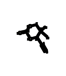 C#CC1OS(=O)OCC1(C)C